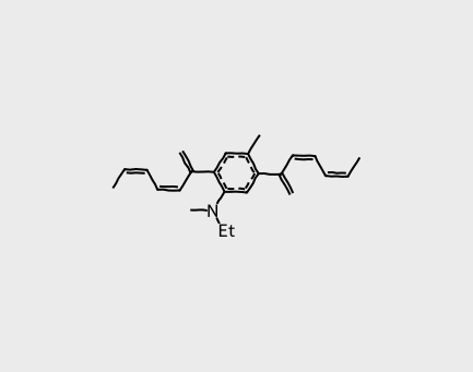 C=C(/C=C\C=C/C)c1cc(N(C)CC)c(C(=C)/C=C\C=C/C)cc1C